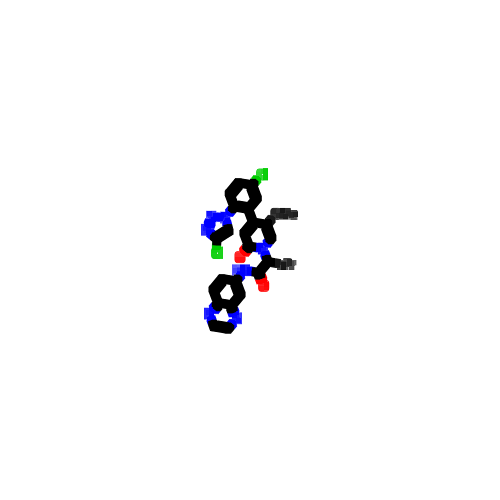 CCCC(C(=O)Nc1ccc2nccnc2c1)n1cc(OC)c(-c2cc(Cl)ccc2-n2cc(Cl)nn2)cc1=O